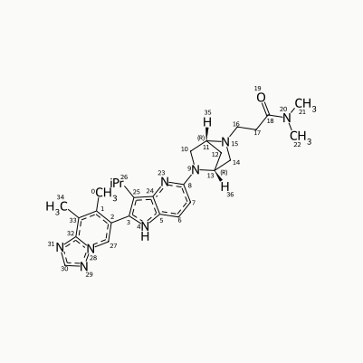 Cc1c(-c2[nH]c3ccc(N4C[C@H]5C[C@@H]4CN5CCC(=O)N(C)C)nc3c2C(C)C)cn2ncnc2c1C